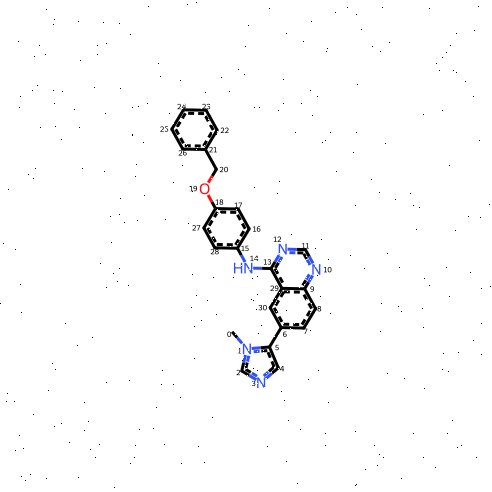 Cn1cncc1-c1ccc2ncnc(Nc3ccc(OCc4ccccc4)cc3)c2c1